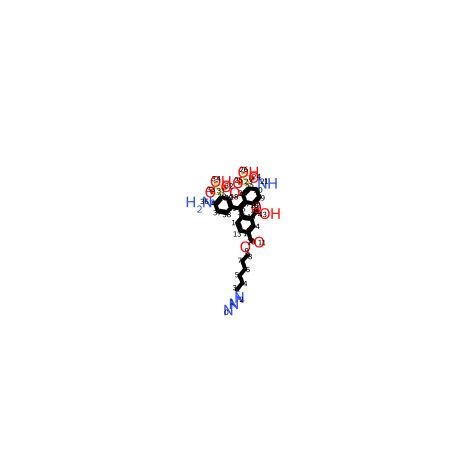 [N-]=[N+]=NCCCCCCOC(=O)c1ccc(-c2c3ccc(=N)c(S(=O)(=O)O)c-3oc3c(S(=O)(=O)O)c(N)ccc23)c(C(=O)O)c1